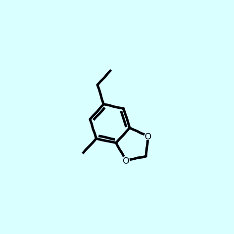 CCc1cc(C)c2c(c1)OCO2